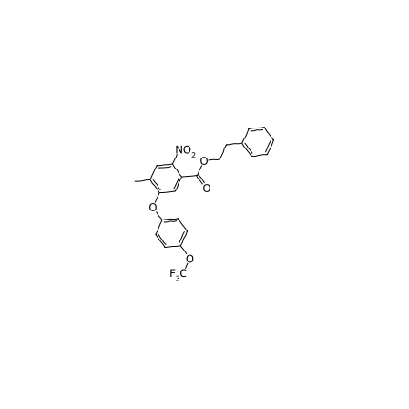 Cc1cc([N+](=O)[O-])c(C(=O)OCCc2ccccc2)cc1Oc1ccc(OC(F)(F)F)cc1